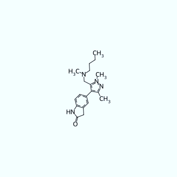 CCCCN(C)Cc1c(-c2ccc3c(c2)CC(=O)N3)c(C)nn1C